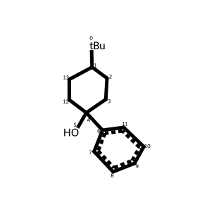 CC(C)(C)C1CCC(O)(c2ccccc2)CC1